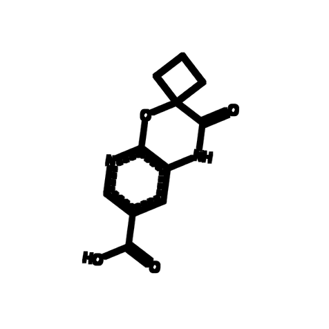 O=C(O)c1cnc2c(c1)NC(=O)C1(CCC1)O2